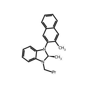 Cc1cc2ccccc2cc1N1c2ccccc2N(CC(C)C)[C@@H]1C